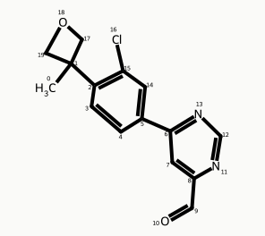 CC1(c2ccc(-c3cc(C=O)ncn3)cc2Cl)COC1